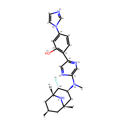 C[C@H]1C[C@H]2N[C@@](C)(C1)C[C@H](N(C)c1cnc(-c3ccc(-n4ccnc4)cc3O)cn1)[C@H]2F